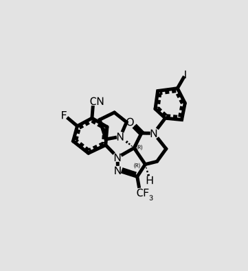 N#Cc1cc(N2N=C(C(F)(F)F)[C@@H]3CCN(c4ccc(I)cc4)C(=O)[C@@]32N2CCCC2)ccc1F